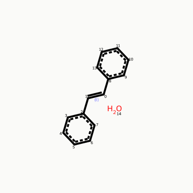 C(=C\c1ccccc1)/c1ccccc1.O